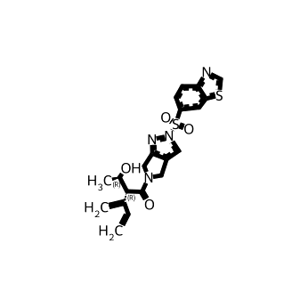 C=CC(=C)[C@@H](C(=O)N1Cc2cn(S(=O)(=O)c3ccc4ncsc4c3)nc2C1)[C@@H](C)O